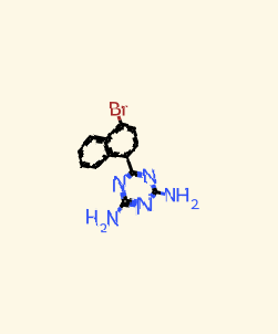 Nc1nc(N)nc(-c2ccc(Br)c3ccccc23)n1